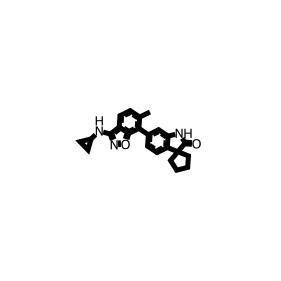 Cc1ccc2c(NC3CC3)noc2c1-c1ccc2c(c1)NC(=O)C21CCCC1